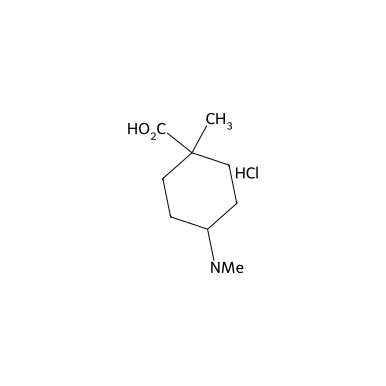 CNC1CCC(C)(C(=O)O)CC1.Cl